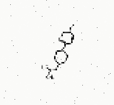 CN(C)CC1CCN(c2ccc(Br)cn2)CC1